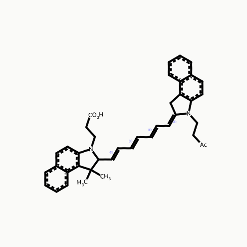 CC(=O)CCN1/C(=C/C=C/C=C/C=C/C2N(CCC(=O)O)c3ccc4ccccc4c3C2(C)C)Cc2c1ccc1ccccc21